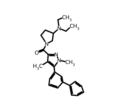 CCN(CC)C1CCN(C(=O)c2nn(C)c(-c3cccc(-c4ccccc4)c3)c2C)C1